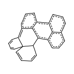 C1=CC2=c3cccc4c3c(c3cccc5cccc4c53)C3C=CC=CC23C=C1